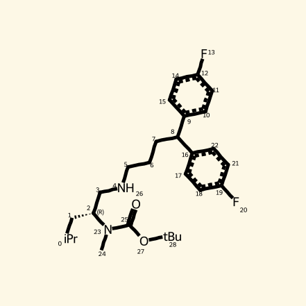 CC(C)C[C@H](CNCCCC(c1ccc(F)cc1)c1ccc(F)cc1)N(C)C(=O)OC(C)(C)C